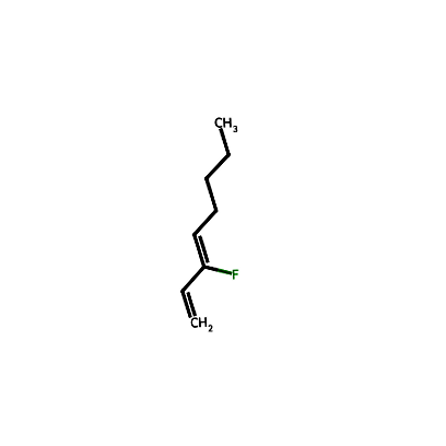 C=CC(F)=CCCCC